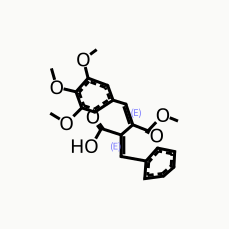 COC(=O)C(=C/c1cc(OC)c(OC)c(OC)c1)/C(=C\c1ccccc1)C(=O)O